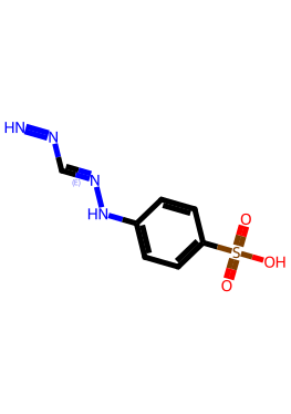 N=N/C=N/Nc1ccc(S(=O)(=O)O)cc1